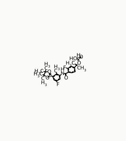 Cc1c(NC(=O)c2ccc(C(C)(C)O[PH](=O)O)cc2F)cc(F)cc1B1OC(C)(C)C(C)(C)O1